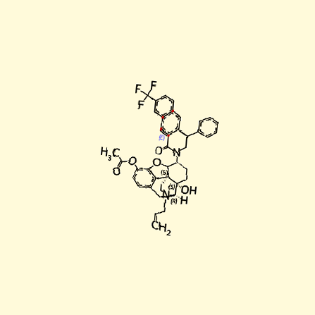 C=CCN1CC[C@]23c4c5ccc(OC(C)=O)c4OC2C(N(CC(c2ccccc2)c2ccccc2)C(=O)/C=C/c2cccc(C(F)(F)F)c2)CC[C@@]3(O)[C@H]1C5